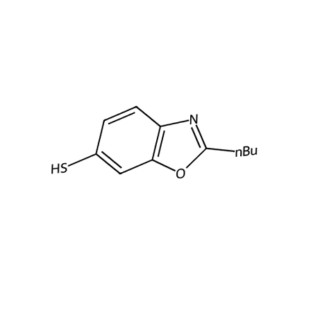 CCCCc1nc2ccc(S)cc2o1